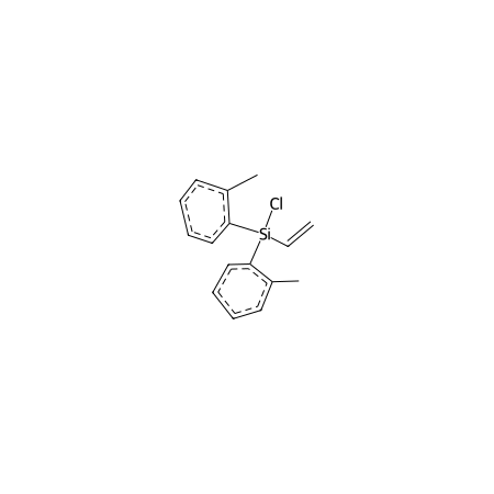 C=C[Si](Cl)(c1ccccc1C)c1ccccc1C